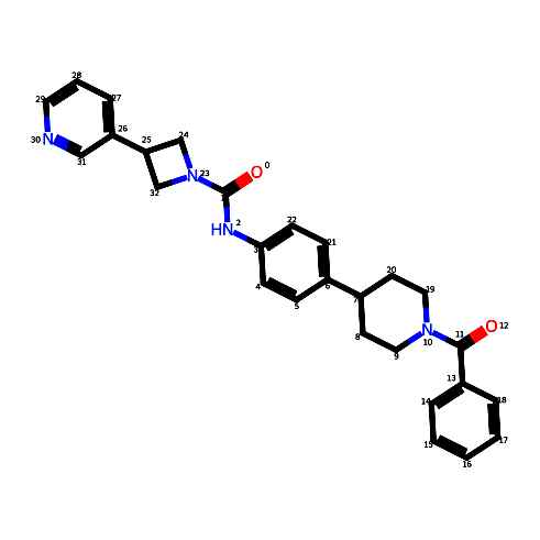 O=C(Nc1ccc(C2CCN(C(=O)c3ccccc3)CC2)cc1)N1CC(c2cccnc2)C1